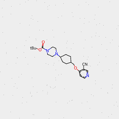 CC(C)(C)OC(=O)N1CCN(C2CCC(COc3ccncc3C#N)CC2)CC1